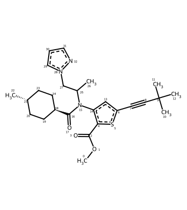 COC(=O)c1sc(C#CC(C)(C)C)cc1N(C(=O)[C@H]1CC[C@H](C)CC1)C(C)Cn1cccn1